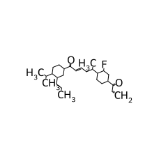 C=CC(=O)C1CCC(C(C)C/C=C/C(=O)C2CCC(C(C)C)C(CCC)C2)C(F)C1